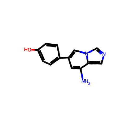 Nc1cc(-c2ccc(O)cc2)cn2cncc12